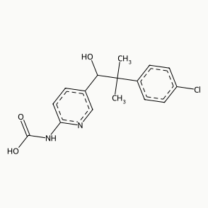 CC(C)(c1ccc(Cl)cc1)C(O)c1ccc(NC(=O)O)nc1